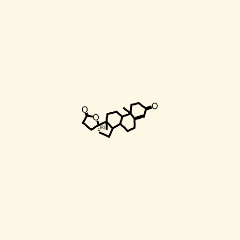 CC12CCC(=O)C=C1CCC1C2CCC2(C)C1CC[C@@]21CCC(=O)O1